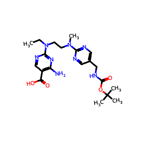 CCN(CCN(C)c1ncc(CNC(=O)OC(C)(C)C)cn1)c1ncc(C(=O)O)c(N)n1